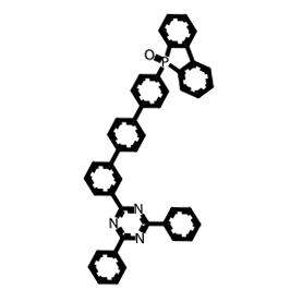 O=P1(c2ccc(-c3ccc(-c4cccc(-c5nc(-c6ccccc6)nc(-c6ccccc6)n5)c4)cc3)cc2)c2ccccc2-c2ccccc21